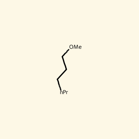 CCCCCCOC